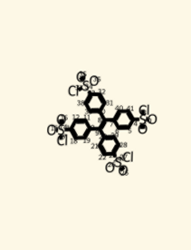 O=S(=O)(Cl)c1ccc(C(=C(c2ccc(S(=O)(=O)Cl)cc2)c2ccc(S(=O)(=O)Cl)cc2)c2ccc(S(=O)(=O)Cl)cc2)cc1